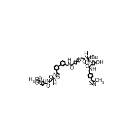 Cc1ncsc1-c1ccc(CNC(=O)[C@@H]2C[C@@H](O)CN2C(=O)[C@@H](NC(=O)CN2CC3(CC(C(=O)NCc4cccc(-c5cccc(-c6csc(NC(=O)CNC(=O)c7ccn(S(C)(=O)=O)c7)n6)c5)c4)C3)C2)C(C)(C)C)cc1